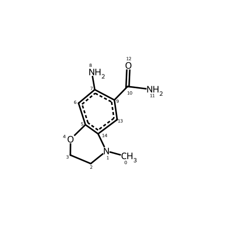 CN1CCOc2cc(N)c(C(N)=O)cc21